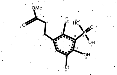 CCc1cc(CCC(=O)OC)c(CC)c(P(=O)(O)O)c1O